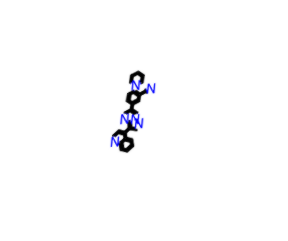 N#Cc1cc(-c2cnc3c(-c4ccnc5ccccc45)cnn3c2)ccc1N1CCCCC1